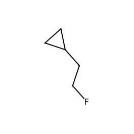 FCCC1CC1